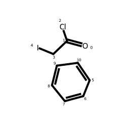 O=C(Cl)CI.c1ccccc1